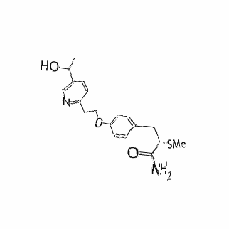 CS[C@@H](Cc1ccc(OCCc2ccc(C(C)O)cn2)cc1)C(N)=O